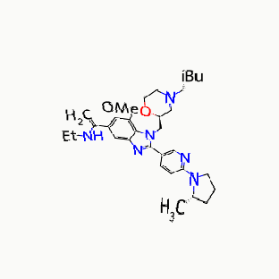 C=C(NCC)c1cc(OC)c2c(c1)nc(-c1ccc(N3CCC[C@@H]3C)nc1)n2C[C@@H]1CN(C[C@@H](C)CC)CCO1